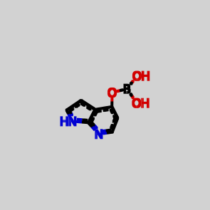 OB(O)Oc1ccnc2[nH]ccc12